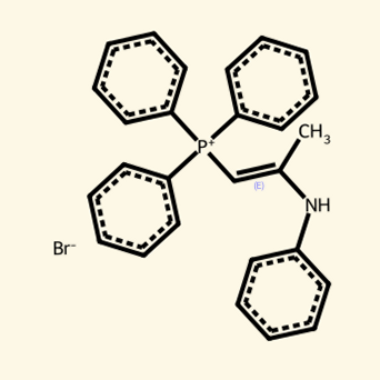 C/C(=C\[P+](c1ccccc1)(c1ccccc1)c1ccccc1)Nc1ccccc1.[Br-]